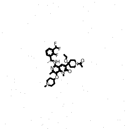 CCOC1(c2cc3c(N[C@H](C)c4cccc(C(F)F)c4F)nc(C)c(OC4CCN(C)CC4)c3n(C)c2=O)CCN(C(C)=O)CC1